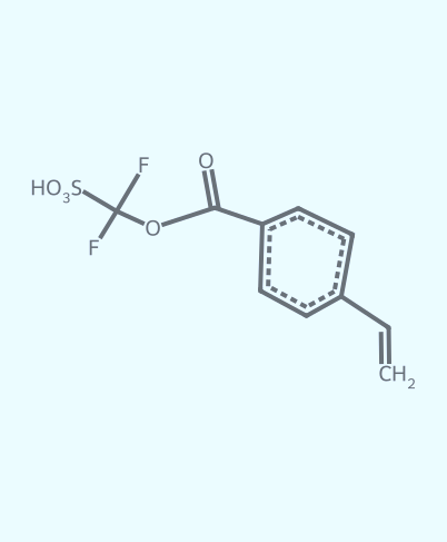 C=Cc1ccc(C(=O)OC(F)(F)S(=O)(=O)O)cc1